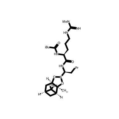 CCC(C)C(=O)N[C@@H](CCCNC(=N)NC)C(=O)N[C@@H](CC(C)C)B1O[C@@H]2C[C@@H]3C[C@@H](C3(C)C)[C@]2(C)O1